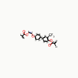 C=C(C)C(=O)O/C=C\Oc1ccc(-c2ccc(OC(=O)C(=C)C)c(C(F)(F)F)c2)cc1